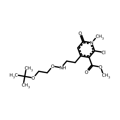 COC(=O)c1c(CCNOCCOC(C)(C)C)cc(=O)n(C)c1Cl